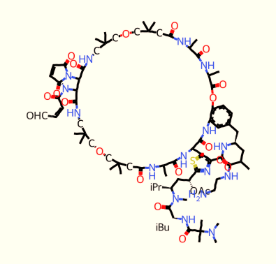 CC[C@H](C)[C@H](NC(=O)C(C)(C)N(C)C)C(=O)N(C)[C@H](C[C@@H](OC(C)=O)c1nc(C(=O)N[C@@H](Cc2ccc3c(c2)NC(=O)C(C)NC(=O)C(C)NC(=O)CC(C)(C)COCC(C)(C)CNC(=O)C(N(C)C(=O)/C=C\C=O)C(N2C(=O)C=CC2=O)C(=O)NCC(C)(C)COCC(C)(C)CC(=O)NC(C)C(=O)NC(C)C(=O)O3)CC(C)C(=O)NCCN)cs1)C(C)C